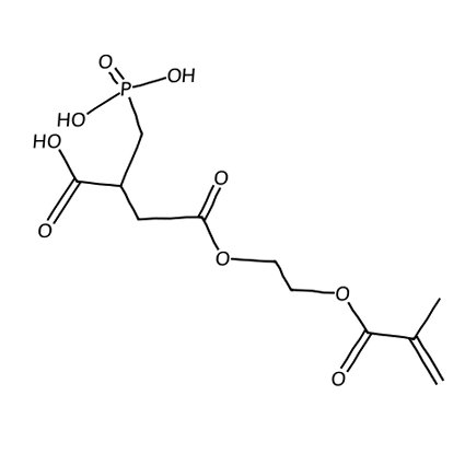 C=C(C)C(=O)OCCOC(=O)CC(CP(=O)(O)O)C(=O)O